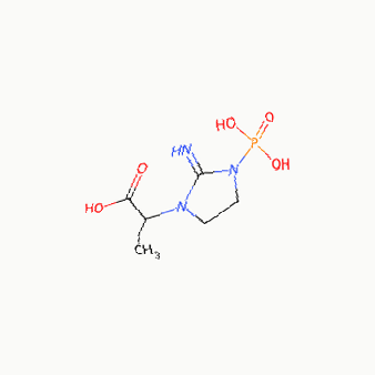 CC(C(=O)O)N1CCN(P(=O)(O)O)C1=N